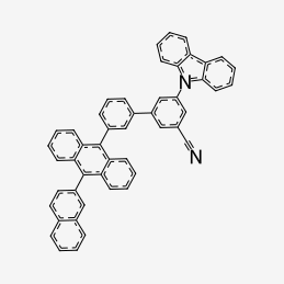 N#Cc1cc(-c2cccc(-c3c4ccccc4c(-c4ccc5ccccc5c4)c4ccccc34)c2)cc(-n2c3ccccc3c3ccccc32)c1